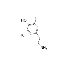 Cl.NCCc1ccc(O)c(F)c1